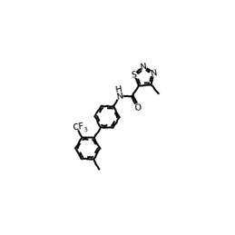 Cc1ccc(C(F)(F)F)c(-c2ccc(NC(=O)c3snnc3C)cc2)c1